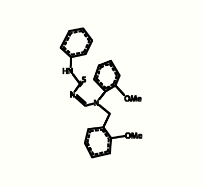 COc1ccccc1CN(/C=N\C(=S)Nc1ccccc1)c1ccccc1OC